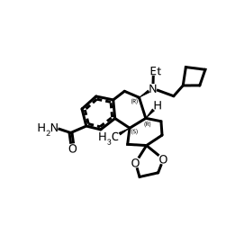 CCN(CC1CCC1)[C@@H]1Cc2ccc(C(N)=O)cc2[C@@]2(C)CC3(CC[C@@H]12)OCCO3